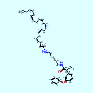 CC/C=C\C/C=C\C/C=C\C/C=C\C/C=C\C/C=C\CCC(=O)NCCSSCCNC(=O)C(C)c1cccc(Oc2ccccc2)c1